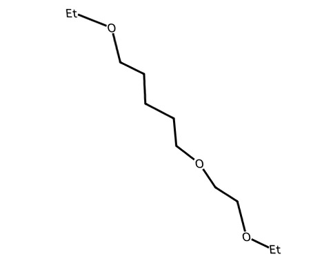 CCOCCCCCOCCOCC